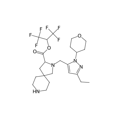 CCc1cc(CN2CC3(CCNCC3)CC2C(=O)OC(C(F)(F)F)C(F)(F)F)n(C2CCOCC2)n1